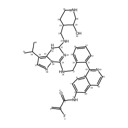 C=C(F)C(=O)Nc1ccc2c(-c3ccccc3CNC3=NC(NCC4CCNCC4O)Nc4c(C(C)C)cnn43)nccc2c1